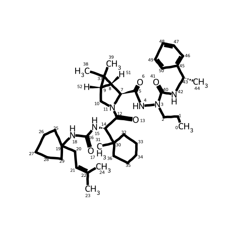 CCCN(NC(=O)[C@@H]1[C@@H]2[C@H](CN1C(=O)[C@@H](NC(=O)NC1(CC=C(C)C)CCCCC1)C1(C)CCCCC1)C2(C)C)C(=O)N[C@@H](C)c1ccccc1